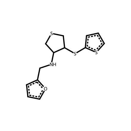 c1coc(CNC2CSCC2Sc2cccs2)c1